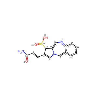 NC(=O)C=CC1=CN2C=c3ccccc3=NC=C2C1S(=O)O